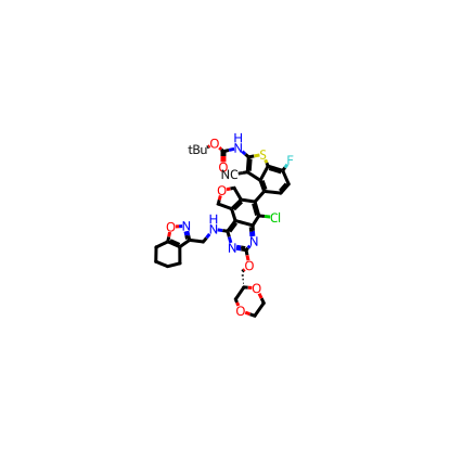 CC(C)(C)OC(=O)Nc1sc2c(F)ccc(-c3c4c(c5c(NCc6noc7c6CCCC7)nc(OC[C@H]6COCCO6)nc5c3Cl)COC4)c2c1C#N